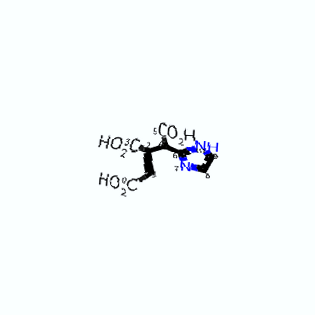 O=C(O)C=C(C(=O)O)C(C(=O)O)c1ncc[nH]1